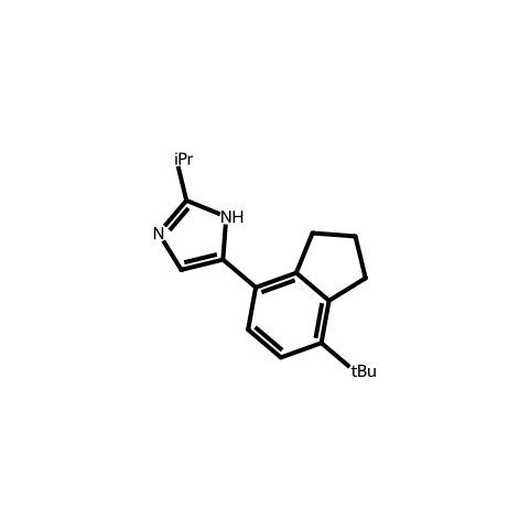 CC(C)c1ncc(-c2ccc(C(C)(C)C)c3c2CCC3)[nH]1